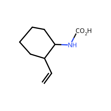 C=CC1CCCCC1NC(=O)O